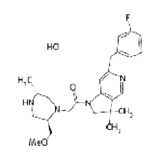 COC[C@H]1CN[C@H](C)CN1CC(=O)N1CC(C)(C)c2cnc(Cc3cccc(F)c3)cc21.Cl